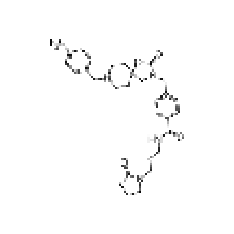 O=C(NCCCN1CCCC1=O)c1ccc(CN2CC3(CCN(Cc4ccc(C(F)(F)F)cc4)CC3)OC2=O)cc1